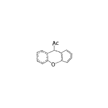 CC(=O)C1C2=C(C=C=C=C2)Oc2ccccc21